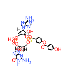 CO[C@H]1[C@H]2OP(=O)(O)OC[C@@]34C[C@@H]3[C@@H](n3cnc5c(N)ncnc53)[C@H](O)[C@@H]4O[P@@](=O)(SCc3ccc(OC(=O)c4ccc(O)cc4)cc3)OC[C@H]1O[C@H]2n1cnc2c(=O)[nH]c(N)nc21